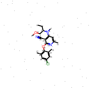 CCC(COC)N(C)c1cc(C)nc(Oc2c(C)cc(Cl)cc2C)c1C#N